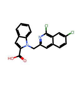 O=C(O)c1cc2ccccc2n1Cc1cc2ccc(Cl)cc2c(Cl)n1